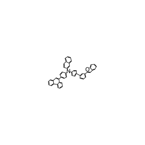 c1cc(-c2ccc(N(c3ccc(-c4cc5ccccc5c5ccccc45)cc3)c3ccc4ccccc4c3)cc2)cc(-c2cc3ccccc3o2)c1